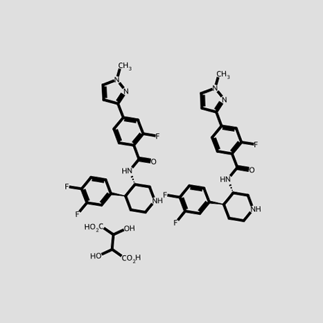 Cn1ccc(-c2ccc(C(=O)N[C@@H]3CNCC[C@H]3c3ccc(F)c(F)c3)c(F)c2)n1.Cn1ccc(-c2ccc(C(=O)N[C@@H]3CNCC[C@H]3c3ccc(F)c(F)c3)c(F)c2)n1.O=C(O)C(O)C(O)C(=O)O